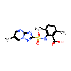 Cc1cnc2nc(S(=O)(=O)Nc3c(C)ccc(C)c3C(=O)O)nn2c1